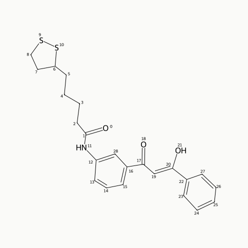 O=C(CCCCC1CCSS1)Nc1cccc(C(=O)/C=C(\O)c2ccccc2)c1